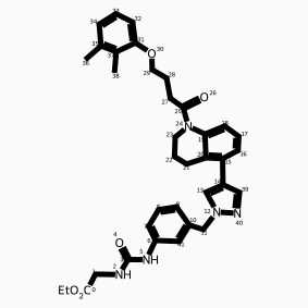 CCOC(=O)CNC(=O)Nc1cccc(Cn2cc(-c3cccc4c3CCCN4C(=O)CCCOc3cccc(C)c3C)cn2)c1